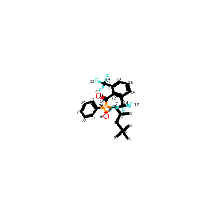 CC(CC(C)(C)C)CP(=O)(C(=O)c1c(C(F)(F)F)cccc1C(F)(F)F)c1ccccc1